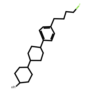 CCCC1CCC(C2CCC(c3ccc(CCCCF)cc3)CC2)CC1